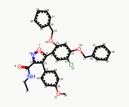 CCNC(=O)c1noc(-c2cc(Cl)c(OCc3ccccc3)cc2OCc2ccccc2)c1-c1ccc(OC)cc1